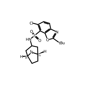 CN1[C@@H]2CC[C@H]1CC(NS(=O)(=O)c1c(Cl)ccc3nc(C(C)(C)C)oc13)C2